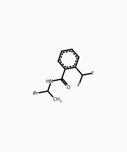 CC(C)C(C)NC(=O)c1ccccc1C(F)F